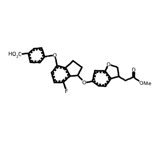 COC(=O)CC1COc2cc(OC3CCc4c(Oc5ccc(C(=O)O)cc5)ccc(F)c43)ccc21